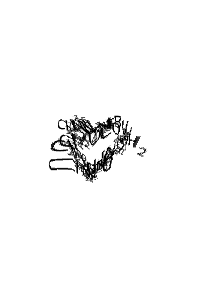 CC(C)(C)N(CC(=O)N1CCCN1c1ccc(Cl)cc1Cl)C(=O)O.Nc1ccc(CNC(=O)NCC(=O)N2CCCN2c2ccc(Cl)cc2Cl)cc1